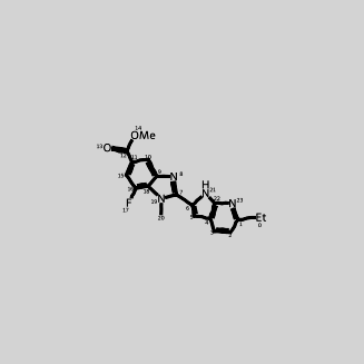 CCc1ccc2cc(-c3nc4cc(C(=O)OC)cc(F)c4n3C)[nH]c2n1